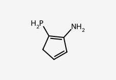 NC1=C(P)CC=C1